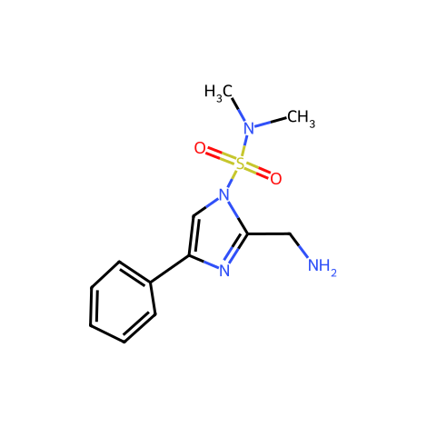 CN(C)S(=O)(=O)n1cc(-c2ccccc2)nc1CN